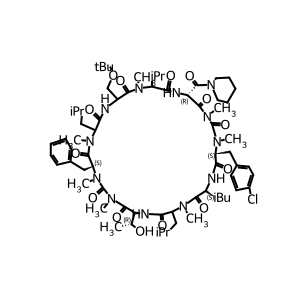 CC[C@H](C)C1NC(=O)[C@H](Cc2ccc(Cl)cc2)N(C)C(=O)N(C)C(=O)[C@@H](C(=O)N2CCCCC2)NC(=O)C(C(C)C)N(C)C(=O)C(COC(C)(C)C)NC(=O)C(CC(C)C)N(C)C(=O)[C@H](Cc2ccccc2)N(C)C(=O)N(C)C(=O)C([C@@H](C)O)NC(=O)C(CC(C)C)N(C)C1=O